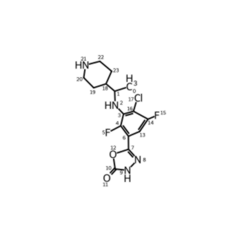 CC(Nc1c(F)c(-c2n[nH]c(=O)o2)cc(F)c1Cl)C1CCNCC1